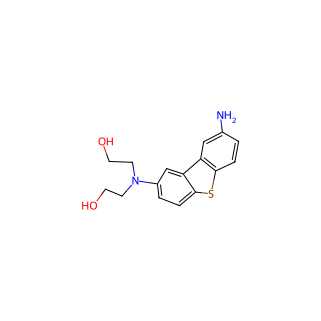 Nc1ccc2sc3ccc(N(CCO)CCO)cc3c2c1